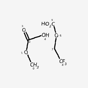 COC(=O)O.O=C(O)OCC(F)(F)F